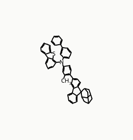 Cc1cc(N(c2cccc(-c3ccccc3)c2)c2cccc3c2sc2ccccc23)ccc1-c1ccc2c(c1)-c1ccccc1C21C2CC3CC(C2)CC1C3